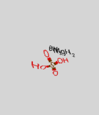 B.O=S(=O)(O)O.[MgH2]